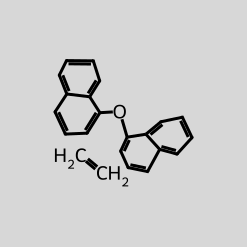 C=C.c1ccc2c(Oc3cccc4ccccc34)cccc2c1